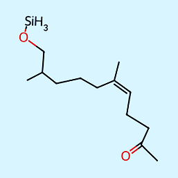 CC(=O)CCC=C(C)CCCC(C)CO[SiH3]